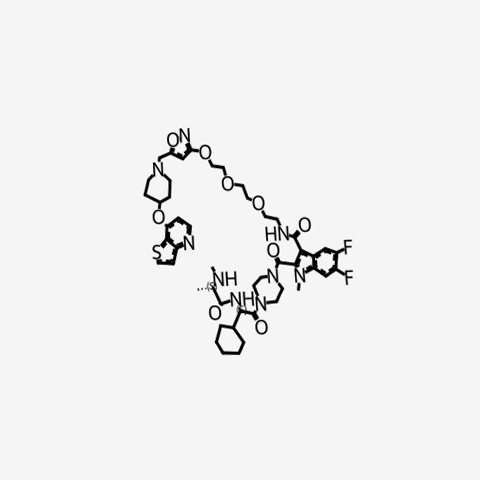 CN[C@@H](C)C(=O)N[C@H](C(=O)N1CCN(C(=O)c2c(C(=O)NCCOCCOCCOc3cc(CN4CCC(Oc5ccnc6ccsc56)CC4)on3)c3cc(F)c(F)cc3n2C)CC1)C1CCCCC1